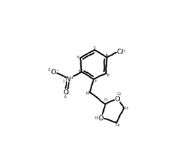 O=[N+]([O-])c1ccc(Cl)cc1C[C]1OCCO1